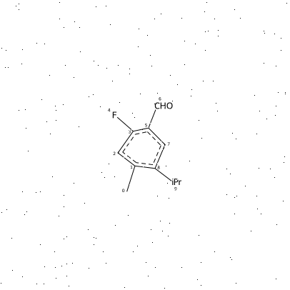 Cc1cc(F)c(C=O)cc1C(C)C